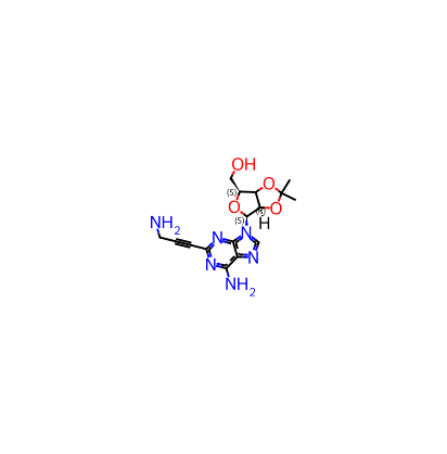 CC1(C)OC2[C@H](CO)O[C@H](n3cnc4c(N)nc(C#CCN)nc43)[C@@H]2O1